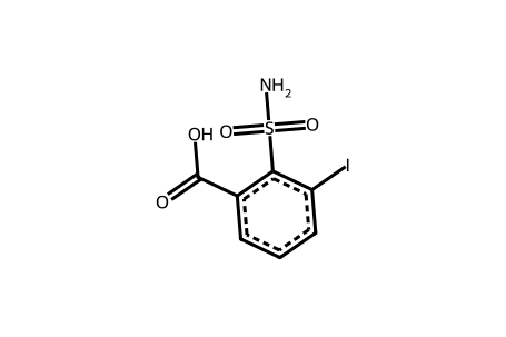 NS(=O)(=O)c1c(I)cccc1C(=O)O